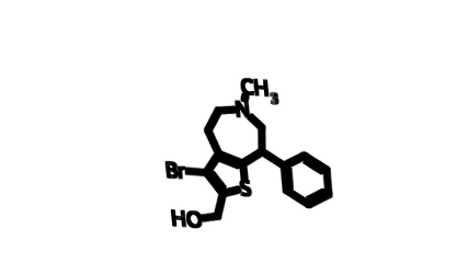 CN1CCc2c(sc(CO)c2Br)C(c2ccccc2)C1